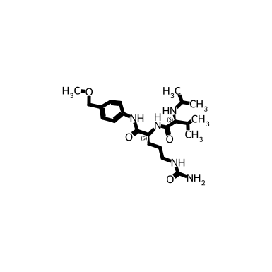 COCc1ccc(NC(=O)[C@H](CCCNC(N)=O)NC(=O)[C@@H](NC(C)C)C(C)C)cc1